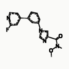 CON(C)C(=O)c1cn(-c2cccc(-c3ccnc(F)c3)c2)cn1